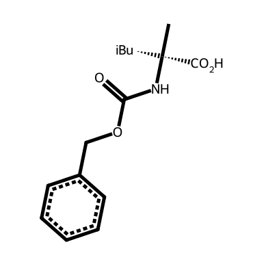 CC[C@@H](C)[C@@](C)(NC(=O)OCc1ccccc1)C(=O)O